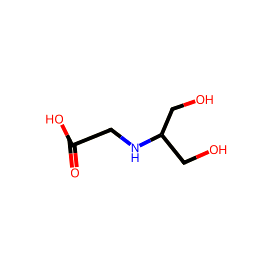 O=C(O)CNC(CO)CO